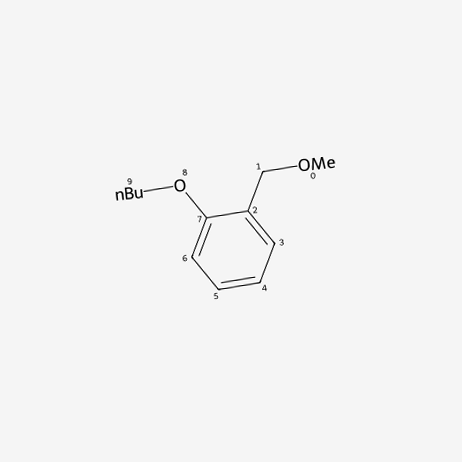 [CH2]OCc1ccccc1OCCCC